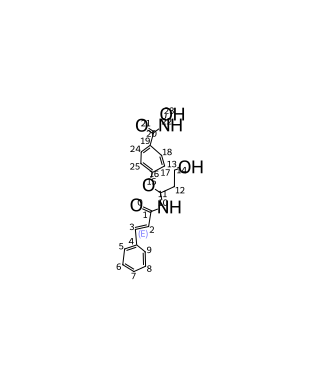 O=C(/C=C/c1ccccc1)NC(CCO)Oc1ccc(C(=O)NO)cc1